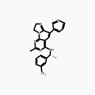 Cc1nc(N[C@H](C)c2cccc(C(F)(F)F)c2)c2c(n1)N1CCN=C1C(c1cccnc1)=C2